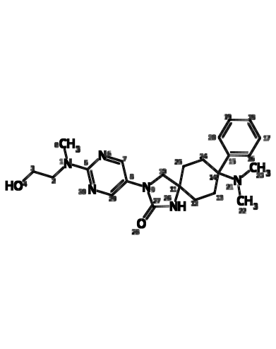 CN(CCO)c1ncc(N2CC3(CCC(c4ccccc4)(N(C)C)CC3)NC2=O)cn1